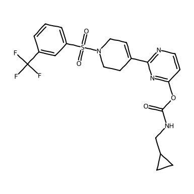 O=C(NCC1CC1)Oc1ccnc(C2=CCN(S(=O)(=O)c3cccc(C(F)(F)F)c3)CC2)n1